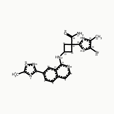 Cc1nc(-c2ccc3ccnc(NC4CC(C(N)=O)(c5nc(C)c(Br)s5)C4)c3c2)no1